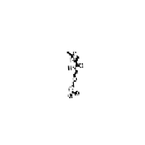 Cc1nc(C(=O)NCCOCCO[N+](=O)[O-])co1